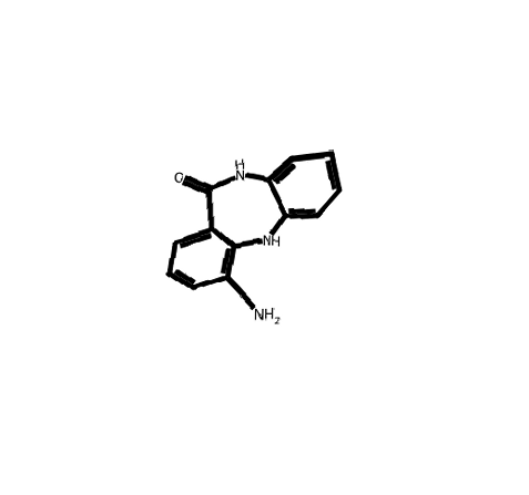 Nc1cccc2c1Nc1ccccc1NC2=O